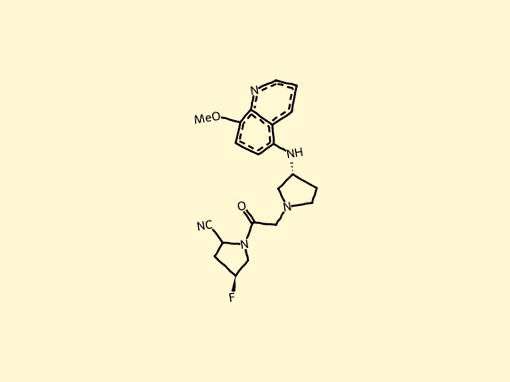 COc1ccc(N[C@@H]2CCN(CC(=O)N3C[C@@H](F)CC3C#N)C2)c2cccnc12